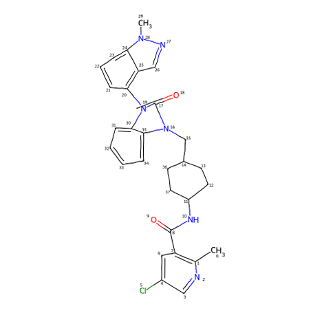 Cc1ncc(Cl)cc1C(=O)NC1CCC(Cn2c(=O)n(-c3cccc4c3cnn4C)c3ccccc32)CC1